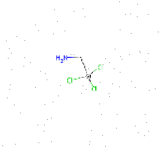 NC[Si](Cl)(Cl)Cl